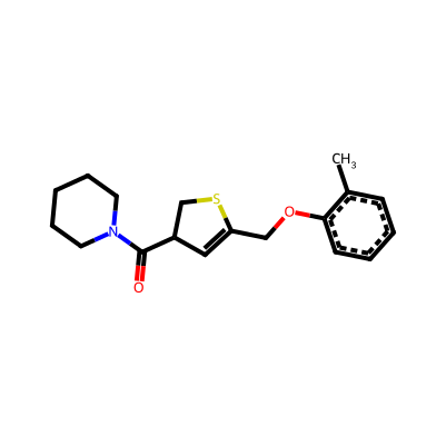 Cc1ccccc1OCC1=CC(C(=O)N2CCCCC2)CS1